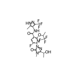 Cc1[nH]nc(C(F)(F)F)c1NC(=O)c1cc(F)c(-n2nc(C(C)O)n(C)c2=O)nc1OC(C)C(F)(F)F